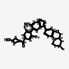 CN1CCN2c3ccc(-c4n[nH]c5cc(C#N)c(-c6c(F)cc(C(=O)N7CC(O)C7)cc6F)cc45)cc3OCC2C1